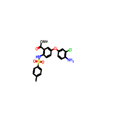 COC(=O)c1cc(Oc2ccc(N)c(Cl)c2)ccc1NS(=O)(=O)c1ccc(C)cc1